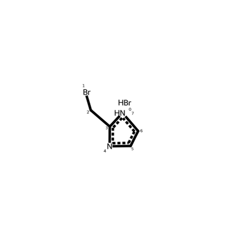 Br.BrCc1ncc[nH]1